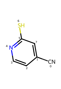 N#Cc1ccnc(S)c1